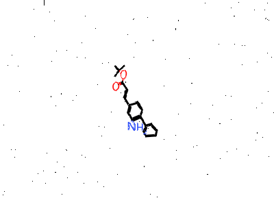 CC(C)(C)OC(=O)C=Cc1ccc(-c2ccccc2)c(N)c1